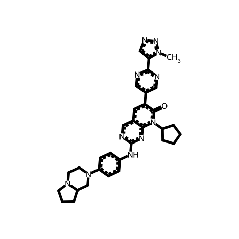 Cn1nncc1-c1ncc(-c2cc3cnc(Nc4ccc(N5CCN6CCCC6C5)cc4)nc3n(C3CCCC3)c2=O)cn1